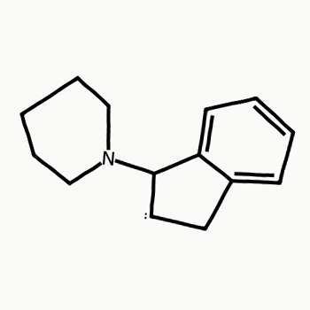 [C]1Cc2ccccc2C1N1CCCCC1